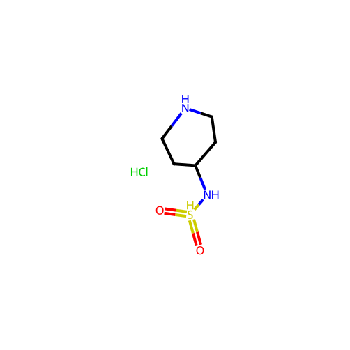 Cl.O=[SH](=O)NC1CCNCC1